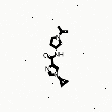 CC(C)N1CC[C@@H](NC(=O)c2cn(C3CC3)cn2)C1